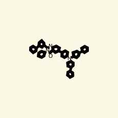 O=c1c2cc(-c3ccc(N(c4ccc(-c5ccccc5)cc4)c4ccc(-c5ccccc5)cc4)cc3)ccc2nc(-c2cccc(-c3ccccc3)c2)n1-c1ccccc1